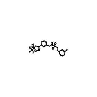 O=S(=O)(CCc1cccc(F)c1)NCc1cccc(C2=NOC(O)(C(F)(F)F)C2)c1